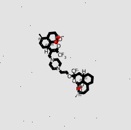 C[C@@H]1CC[C@H]2C(CN3CCN(CCO[C@]4(C(F)(F)F)C[C@@H]5CCCC6CC[C@]7(C)OO[C@]65[C@@H](O7)O4)CC3)=C(C(F)(F)F)O[C@@H]3O[C@]4(C)CCC1[C@]32O4